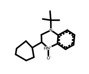 CC(C)(C)N1CC(C2CCCCC2)[NH+]([O-])c2ccc[c]c21